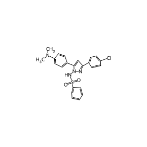 CN(C)c1ccc(-c2cc(-c3ccc(Cl)cc3)nn2NS(=O)(=O)c2ccccc2)cc1